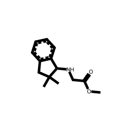 COC(=O)CNC1c2ccccc2CC1(C)C